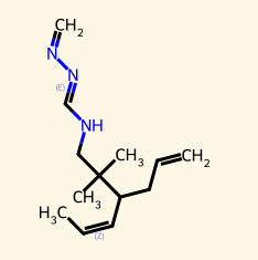 C=CCC(/C=C\C)C(C)(C)CN/C=N/N=C